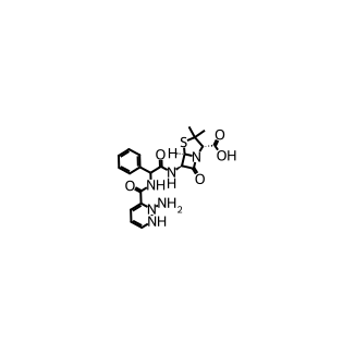 CC1(C)S[C@@H]2[C@H](NC(=O)C(NC(=O)C3=CC=CNN3N)c3ccccc3)C(=O)N2[C@H]1C(=O)O